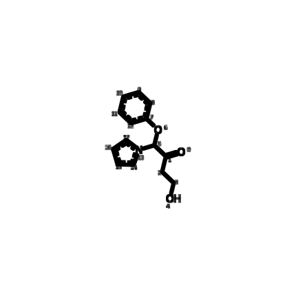 O=C(CCO)C(Oc1ccccc1)n1cccc1